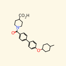 CC1CCC(Oc2ccc(-c3ccc(C(=O)N4CCC(C(=O)O)CC4)cc3)cc2)CC1